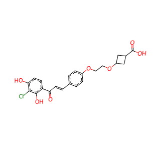 O=C(/C=C/c1ccc(OCCOC2CC(C(=O)O)C2)cc1)c1ccc(O)c(Cl)c1O